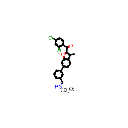 CCOC(=O)NCc1cccc(-c2ccc3c(C)c(C(=O)c4ccc(Cl)cc4Cl)oc3c2)c1